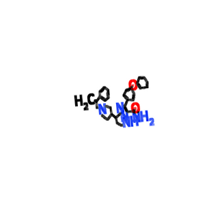 C=C(CN1CCC(C2CCNn3c2nc(-c2ccc(Oc4ccccc4)cc2)c3C(N)=O)CC1)c1ccccc1